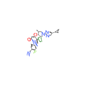 C[C@H]1CN(c2ncc(C3CC3)cn2)CC[C@@H]1Oc1cc(=O)n(-c2ccc(C#N)c(F)c2)cc1Cl